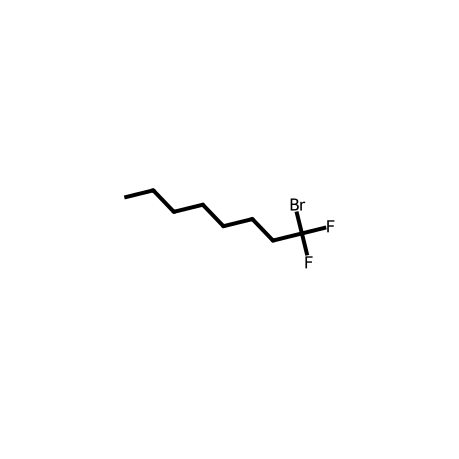 CCCCCCCC(F)(F)Br